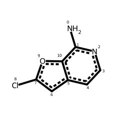 Nc1nccc2cc(Cl)oc12